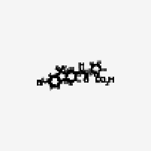 CC1(C)c2cc(Br)ccc2-c2ccc(NC(=O)[C@@H]3CCCN3C(=O)O)cc21